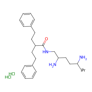 CC(C)C(N)CCC(N)CNC(=O)C(CCc1ccccc1)CCc1ccccc1.Cl.Cl